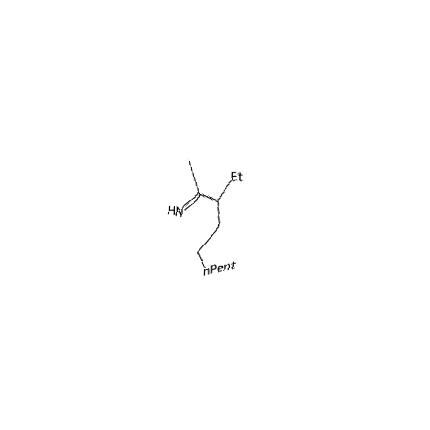 CCCCCCCC(CC)C(C)=N